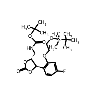 CC(C)(C)OC(=O)NC[C@H]1OC(=O)O[C@@H]1c1ccc(F)cc1OCCO[Si](C)(C)C(C)(C)C